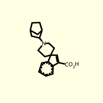 O=C(O)C1=CC2(CCN(C3CC4CCC3C4)CC2)c2ccccc21